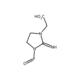 N=C1N(CC(=O)O)CCN1P=O